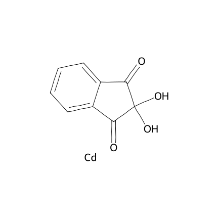 O=C1c2ccccc2C(=O)C1(O)O.[Cd]